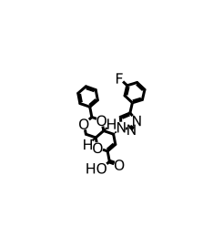 O=C(O)C1=C[C@@H](n2cc(-c3cccc(F)c3)nn2)[C@H]2OC(c3ccccc3)OC[C@H]2O1